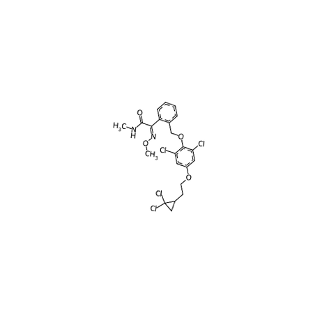 CNC(=O)C(=NOC)c1ccccc1COc1c(Cl)cc(OCCC2CC2(Cl)Cl)cc1Cl